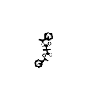 CC(OC(=O)C(C)(C)C(=O)OC(C)C1CC2CCC1CC2)C1CC2CCC1CC2